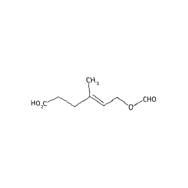 C/C(=C\COC=O)CCC(=O)O